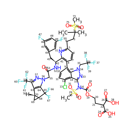 CC(C)(CCc1ccc(-c2ccc(Cl)c3c(N(C(=O)OCCC(C(=O)O)C(=O)O)S(C)(=O)=O)nn(CC(F)(F)F)c23)c([C@H](Cc2cc(F)cc(F)c2)NC(=O)Cn2nc(C(F)(F)F)c3c2C(F)(F)C2C[C@H]32)n1)S(C)(=O)=O